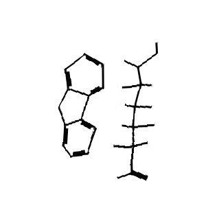 C=C(C(=O)O)C(F)(F)C(F)(F)C(F)(F)C(F)(F)C(F)CC(F)(F)F.c1ccc2c(c1)Cc1ccccc1-2